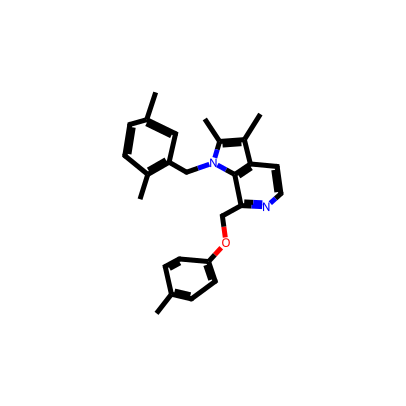 Cc1ccc(OCc2nccc3c(C)c(C)n(Cc4cc(C)ccc4C)c23)cc1